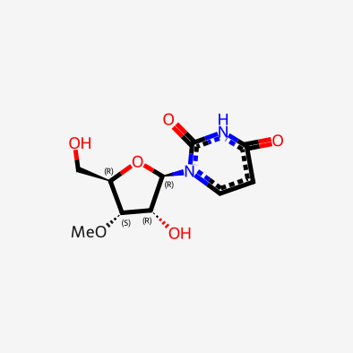 CO[C@H]1[C@@H](O)[C@H](n2ccc(=O)[nH]c2=O)O[C@@H]1CO